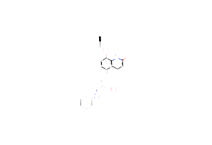 C#CCOc1ccc(OCC(O)CNC2CCCCC2)c2ccc(=O)[nH]c12